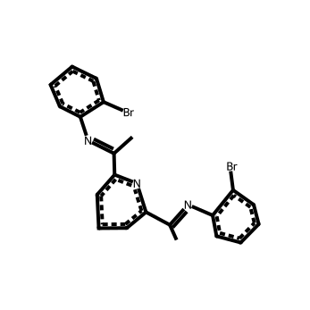 CC(=Nc1ccccc1Br)c1cccc(C(C)=Nc2ccccc2Br)n1